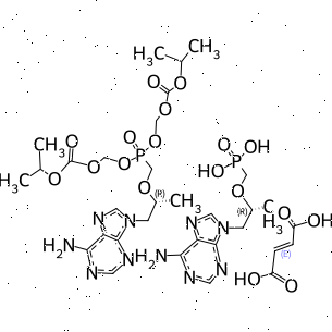 CC(C)OC(=O)OCOP(=O)(CO[C@H](C)Cn1cnc2c(N)ncnc21)OCOC(=O)OC(C)C.C[C@H](Cn1cnc2c(N)ncnc21)OCP(=O)(O)O.O=C(O)/C=C/C(=O)O